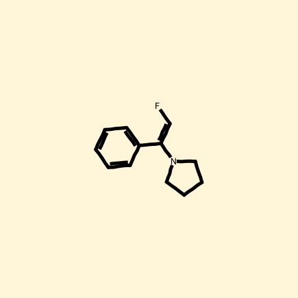 F/C=C(\c1ccccc1)N1CCCC1